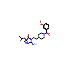 COc1cccc(C(=O)N2CCC(CCN3C(=N)NC(C)(CC(C)C)C3=O)CC2)c1